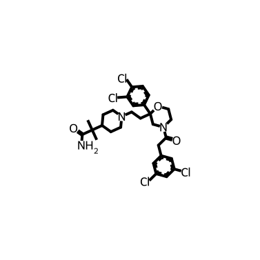 CC(C)(C(N)=O)C1CCN(CCC2(c3ccc(Cl)c(Cl)c3)CN(C(=O)Cc3cc(Cl)cc(Cl)c3)CCO2)CC1